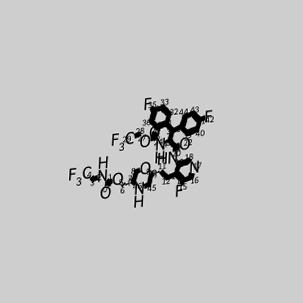 O=C(NCC(F)(F)F)OC[C@@H]1CO[C@H](CCc2c(F)cncc2NC(=O)[C@@H](NC(=O)OCC(F)(F)F)C(c2ccc(F)cc2)c2ccc(F)cc2)CN1